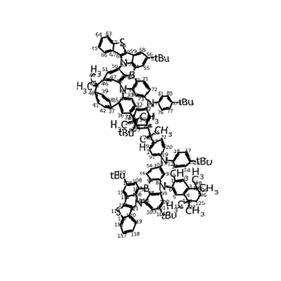 Cc1cc2c(cc1N1c3cc(N(c4ccc(C(C)(C)C)cc4)c4ccc(C(C)(C)CCC(C)(C)c5ccc6c(c5)-c5ccc(cc5)C(C)(C)c5cc7c8c(c5)-n5c9c(cc(C(C)(C)C)cc9c9sc%10ccccc%10c95)B8c5ccc(N(c8ccc(C(C)(C)C)cc8)c8ccc(C(C)(C)C)cc8)cc5N67)cc4)ccc3B3c4c1cc(C(C)(C)C)cc4-n1c4c3cc(C(C)(C)C)cc4c3sc4ccccc4c31)C(C)(C)CCC2(C)C